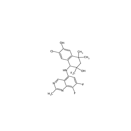 Cc1ncc2c(NC3c4cc(Cl)c(O)cc4C(C)(C)CC3(O)C(F)(F)F)cc(F)c(F)c2n1